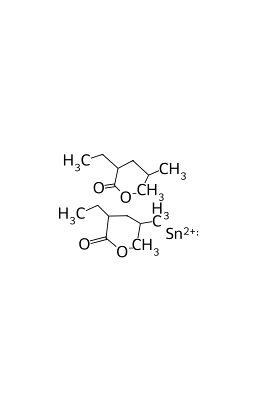 CCC(CC(C)C)C(=O)[O-].CCC(CC(C)C)C(=O)[O-].[Sn+2]